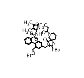 CCCCC1=NC2(CCCN(C(=O)CC(F)(F)F)C2)C(=O)N1Cc1ccc(-c2ccccc2S(=O)(=O)Nc2noc(C)c2C)c(COCC)c1